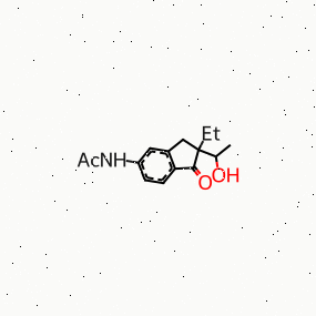 CCC1(C(C)O)Cc2cc(NC(C)=O)ccc2C1=O